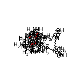 C[C@H](CCCNC(=N)N)C(=O)N[C@H](CCCNC(=N)N)C(=O)N[C@H](CCCNC(=N)N)C(=O)N[C@H](CCCNC(=N)N)C(=O)N[C@H](CCCNC(=N)N)C(=O)N[C@H](CCCNC(=N)N)C(=O)N[C@H](CCCNC(=N)N)C(=O)N[C@H](CCCNC(=N)N)C(=O)N[C@H](CSC1CC(=O)N(CCNC(=O)CCCCCN2/C(=C/C=C/C=C/C=C/C3=Nc4ccc(S(=O)(=O)O)cc4C3(C)C)C(C)(C)c3cc(S(=O)(=O)O)ccc32)C1=O)C(N)=O